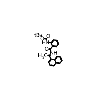 C[C@@H](NC(=O)c1ccccc1NC(=O)OC(C)(C)C)c1cccc2ccccc12